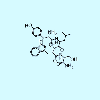 CC(C)C[C@H](NC(=O)[C@@H](N)Cc1ccc(O)cc1)C(=O)N[C@@H](Cc1c[nH]c2ccccc12)C(=O)N[C@@H](CO)C(N)=O